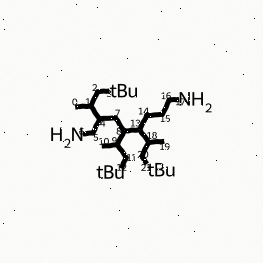 CC(CC(C)(C)C)C(CN)CC(C(C)CC(C)(C)C)C(CCCN)C(C)CC(C)(C)C